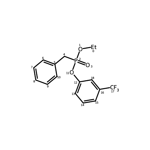 CCOP(=O)(Cc1ccccc1)Oc1cccc(C(F)(F)F)c1